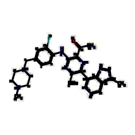 CNc1nc(Nc2ccc(CN3CCN(C)CC3)cc2F)c(C(N)=O)nc1-c1cncc2c1ncn2C